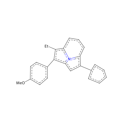 CCc1c(-c2ccc(OC)cc2)c2cc(-c3ccccc3)c3cccc1n32